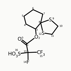 O=C(OC1CCCCC12SCCS2)C(F)(C(F)(F)F)S(=O)(=O)O